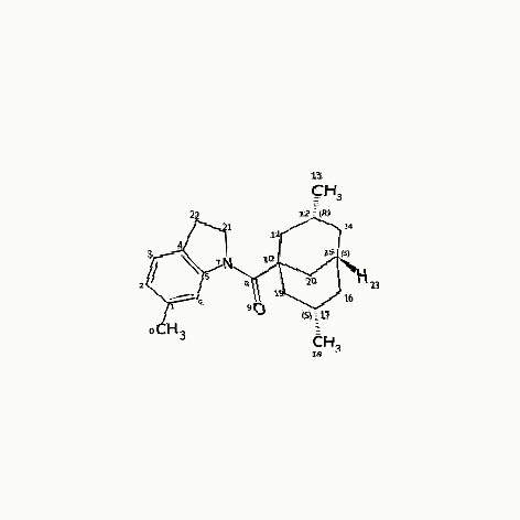 Cc1ccc2c(c1)N(C(=O)C13C[C@H](C)C[C@H](C[C@H](C)C1)C3)CC2